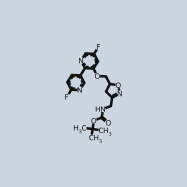 CC(C)(C)OC(=O)NCC1=NOC(COc2cc(F)cnc2-c2ccc(F)nc2)C1